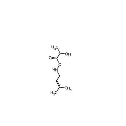 CC(C)=CCNOC(=O)C(C)O